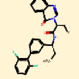 CC(C)C[C@@H](C(=O)N[C@@H](CC(=O)O)c1cccc(-c2c(F)cccc2F)c1)n1cnc2ccccc2c1=O